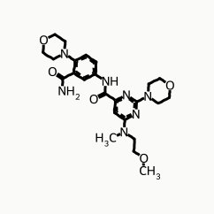 COCCN(C)c1cc(C(=O)Nc2ccc(N3CCOCC3)c(C(N)=O)c2)nc(N2CCOCC2)n1